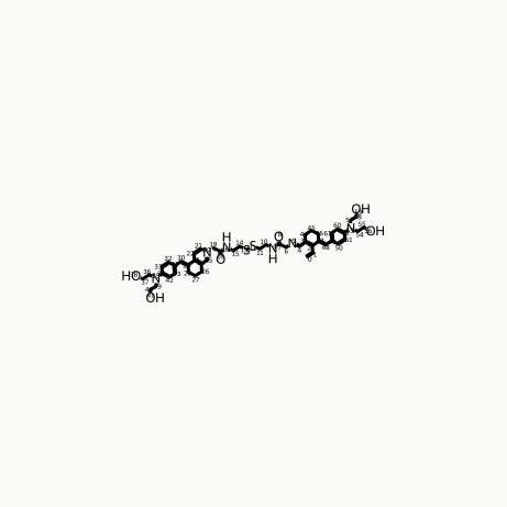 C=CC1=C(/C=N/CC(=O)NCCSSCCNC(=O)C[n+]2ccc3c(c2)CCC/C3=C\c2ccc(N(CCO)CCO)cc2)CCC/C1=C\c1ccc(N(CCO)CCO)cc1